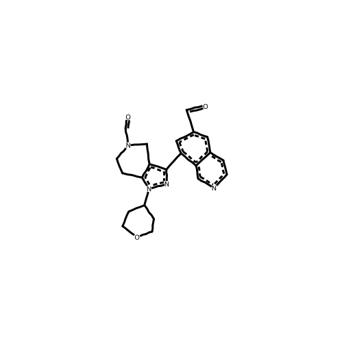 O=Cc1cc(-c2nn(C3CCOCC3)c3c2CN(C=O)CC3)c2cnccc2c1